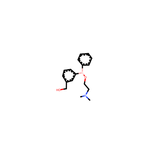 CN(C)CCOB(c1ccccc1)c1cccc(CO)c1